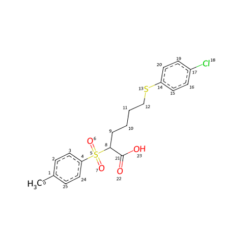 Cc1ccc(S(=O)(=O)C(CCCCSc2ccc(Cl)cc2)C(=O)O)cc1